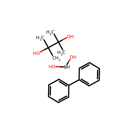 CC(C)(O)C(C)(C)O.OBO.c1ccc(-c2ccccc2)cc1